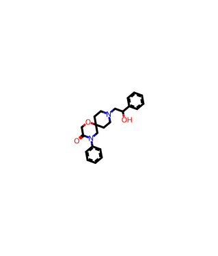 O=C1COC2(CCN(CC(O)c3ccccc3)CC2)CN1c1ccccc1